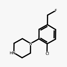 FCc1ccc(Cl)c(N2CCNCC2)c1